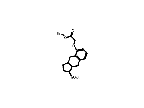 CCCCCCCCC1CCC2Cc3c(cccc3OCC(=O)OC(C)(C)C)CC12